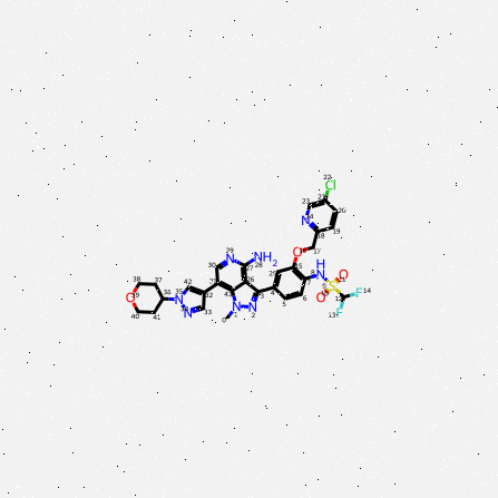 Cn1nc(-c2ccc(NS(=O)(=O)C(F)F)c(OCc3ccc(Cl)cn3)c2)c2c(N)ncc(-c3cnn(C4CCOCC4)c3)c21